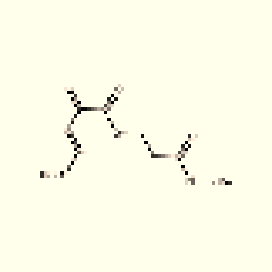 C=C(C=C(C)C(=O)O)C(=O)OCCC(=O)NCCCC